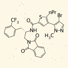 CCCc1sc(C(=O)N[C@@H](Cc2ccccc2C(F)(F)F)CN2C(=O)c3ccccc3C2=O)cc1-c1c(Br)cnn1C